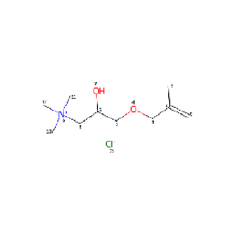 C=C(C)COCC(O)C[N+](C)(C)C.[Cl-]